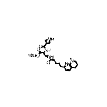 CCCCOC(=O)C(CNC(=O)CCCCc1ccc2c(n1)N(C)CCC2)NC(=O)C1CNC1